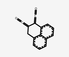 O=C=C1Cc2cccc3cccc(c23)C1=C=O